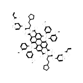 C=CC(=O)Oc1cc(OC(=O)C(CCC2CCCC2)N2C(=O)c3cc(Oc4cccc(OC)c4)c4c5c(Oc6cccc(OC)c6)cc6c7c(cc(Oc8cccc(OC)c8)c(c8c(Oc9cccc(OC)c9)cc(c3c48)C2=O)c75)C(=O)N(C(CCC2CCCC2)C(=O)Oc2ccnc(OC(=O)C=C)c2)C6=O)ccn1